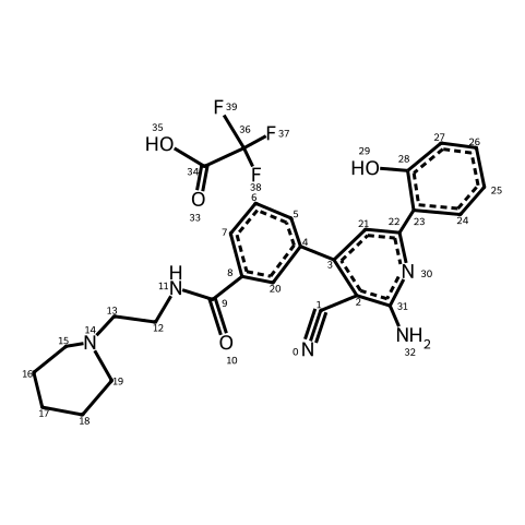 N#Cc1c(-c2cccc(C(=O)NCCN3CCCCC3)c2)cc(-c2ccccc2O)nc1N.O=C(O)C(F)(F)F